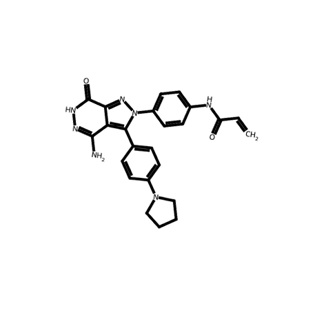 C=CC(=O)Nc1ccc(-n2nc3c(=O)[nH]nc(N)c3c2-c2ccc(N3CCCC3)cc2)cc1